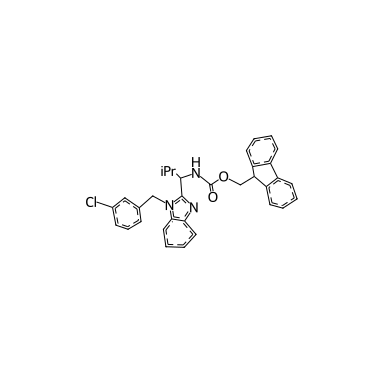 CC(C)C(NC(=O)OCC1c2ccccc2-c2ccccc21)c1nc2ccccc2n1Cc1cccc(Cl)c1